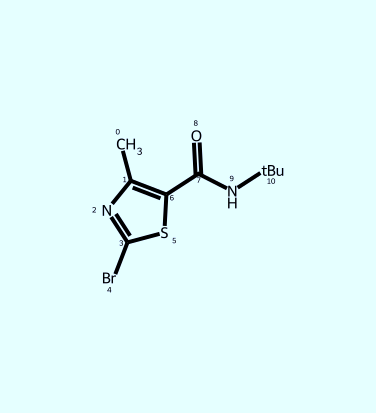 Cc1nc(Br)sc1C(=O)NC(C)(C)C